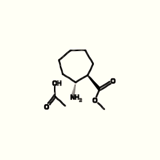 CC(=O)O.COC(=O)[C@@H]1CCCCC[C@H]1N